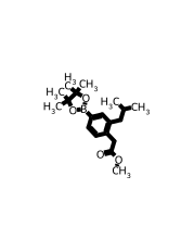 COC(=O)Cc1ccc(B2OC(C)(C)C(C)(C)O2)cc1CC(C)C